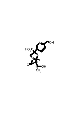 C[C@@H](O)[C@H]1C(=O)N2CC(C(=O)O)(c3ccc(CO)nc3)S[C@H]12